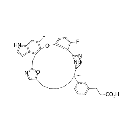 CC1(c2cccc(CCC(=O)O)c2)CCCCCc2cnc(o2)Cc2c(c(F)cc3[nH]ccc23)Oc2ccc(F)c(c2)-c2ncc1[nH]2